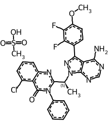 COc1ccc(-c2nn([C@@H](C)c3nc4cccc(Cl)c4c(=O)n3-c3ccccc3)c3ncnc(N)c23)c(F)c1F.CS(=O)(=O)O